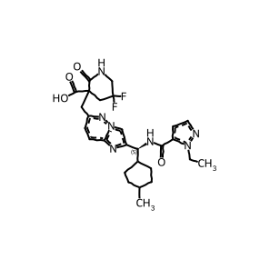 CCn1nccc1C(=O)N[C@H](c1cn2nc(CC3(C(=O)O)CC(F)(F)CNC3=O)ccc2n1)C1CCC(C)CC1